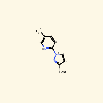 CCCC(C)c1[c]cn(-c2ccc(C(F)(F)F)cn2)n1